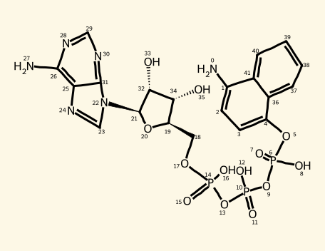 Nc1ccc(OP(=O)(O)OP(=O)(O)OP(=O)(O)OC[C@H]2O[C@@H](n3cnc4c(N)ncnc43)[C@H](O)[C@@H]2O)c2ccccc12